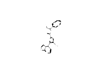 NCC(NC(=O)c1cc(Br)c(C2C=CN=C3NC=CC32)s1)c1ccccc1